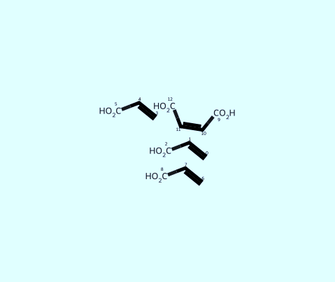 C=CC(=O)O.C=CC(=O)O.C=CC(=O)O.O=C(O)/C=C\C(=O)O